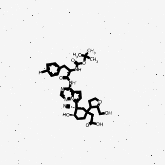 CC(C)(C)OC(=O)NC(Cc1ccc(F)cc1)C(=O)Nc1ncnn2c([C@@]3(C#N)CC(CC(=O)O)(C4CCOC4CO)CC[C@H]3O)ccc12